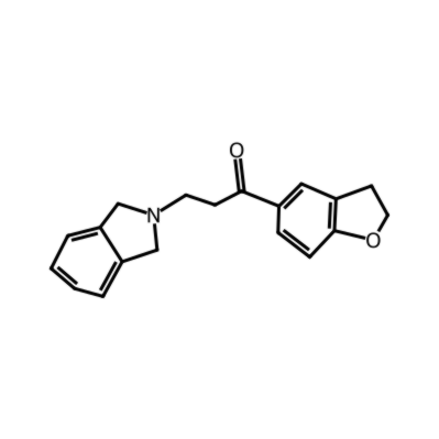 O=C(CCN1Cc2ccccc2C1)c1ccc2c(c1)CCO2